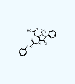 Cn1c(CC(=O)O)c(NC(=O)OCc2ccccc2)c(=O)n1-c1ccccc1